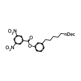 CCCCCCCCCCCCCCCc1cccc(OC(=O)c2cc([N+](=O)[O-])cc([N+](=O)[O-])c2)c1